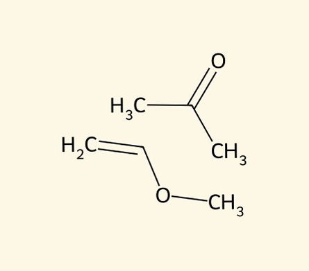 C=COC.CC(C)=O